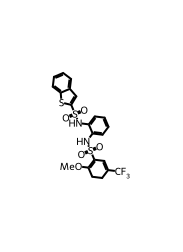 COC1=C(S(=O)(=O)Nc2ccccc2NS(=O)(=O)c2cc3ccccc3s2)C=C(C(F)(F)F)CC1